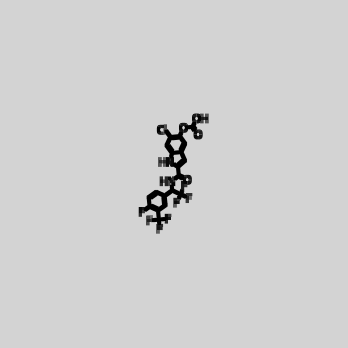 O=C(O)Oc1cc2cc(C(=O)NC(c3ccc(F)c(C(F)(F)F)c3)C(F)(F)F)[nH]c2cc1Cl